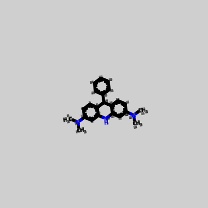 CN(C)c1ccc2c(c1)Nc1cc(N(C)C)ccc1C2c1ccccc1